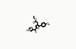 CCOC(=O)Cc1cc(C(=O)c2c[nH]nn2)sc1-c1ccc(OC)cc1